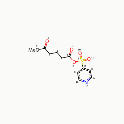 COC(=O)CCCC(=O)OS(=O)(=O)c1ccncc1